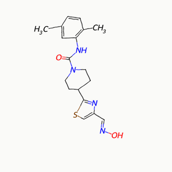 Cc1ccc(C)c(NC(=O)N2CCC(c3nc(C=NO)cs3)CC2)c1